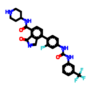 O=C(Nc1cccc(C(F)(F)F)c1)Nc1ccc(-c2ccc(C(=O)NC3CCNCC3)c3c2C=NC3=O)c(F)c1